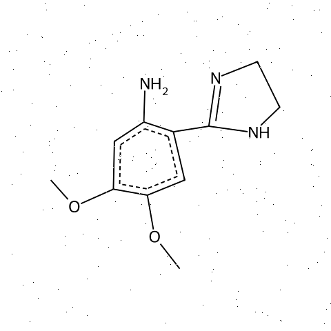 COc1cc(N)c(C2=NCCN2)cc1OC